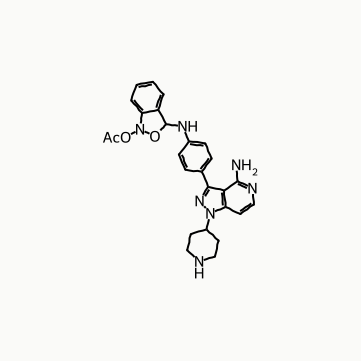 CC(=O)ON1OC(Nc2ccc(-c3nn(C4CCNCC4)c4ccnc(N)c34)cc2)c2ccccc21